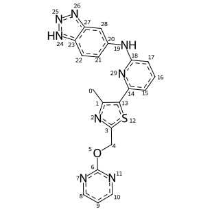 Cc1nc(COc2ncccn2)sc1-c1cccc(Nc2ccc3[nH]nnc3c2)n1